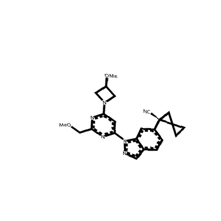 COCc1nc(N2CC(OC)C2)cc(-n2ncc3ccc([C@]4(C#N)CC45CC5)cc32)n1